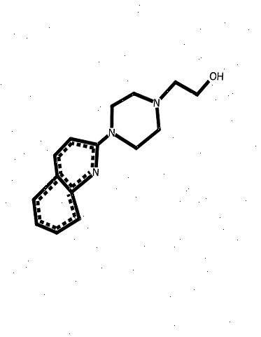 OCCN1CCN(c2ccc3ccccc3n2)CC1